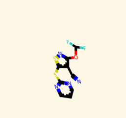 N#Cc1c(OC(F)F)nsc1Sc1ncccn1